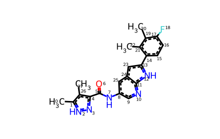 Cc1[nH]nc(C(=O)Nc2cnc3[nH]c(-c4ccc(F)c(C)c4C)cc3c2)c1C